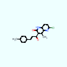 Cc1ccc(C=CC(=O)c2c(C)c3nc(Cl)ccc3[nH]c2=O)cc1